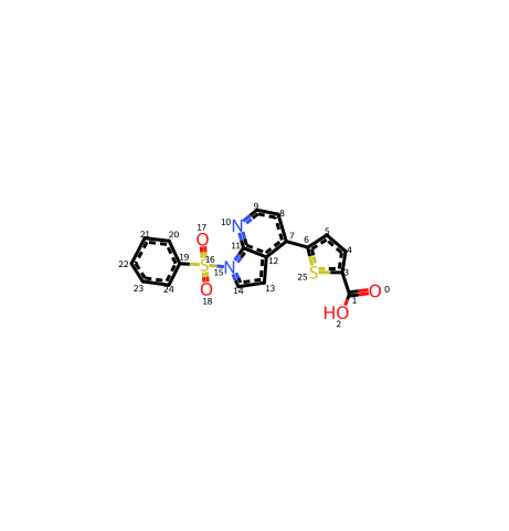 O=C(O)c1ccc(-c2ccnc3c2ccn3S(=O)(=O)c2ccccc2)s1